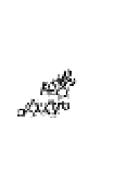 O=C(c1ccc(N[SH](=O)=O)c(OC(F)(F)F)c1)N1CCN(Cc2cncc(Cl)c2)CC1